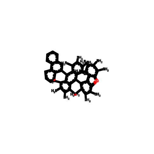 Bc1c(B)c(B)c2c(oc3c(B)c(B)c(B)c(-c4c5c(B)c(B)c(B)c(B)c5c(-c5cc6ccccc6c6ccccc56)c5c(B)c(B)c(B)c(B)c45)c32)c1B